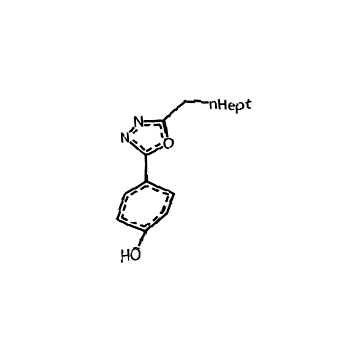 CCCCCCCCc1nnc(-c2ccc(O)cc2)o1